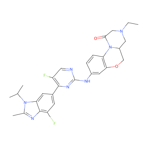 CCN1CC(=O)N2c3ccc(Nc4ncc(F)c(-c5cc(F)c6nc(C)n(C(C)C)c6c5)n4)cc3OCC2C1